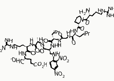 CC(C)C[C@H](NC(=O)CNC(=O)[C@H](CC(C)C)NC(=O)[C@@H]1CCCN1C(=O)[C@H](N)CCCNC(=N)N)C(=O)N[C@@H](CNc1ccc([N+](=O)[O-])cc1[N+](=O)[O-])C(=O)N[C@@H](C)C(=O)N[C@H](CCCNC(=N)N)C(=O)N[C@@H]([C]=O)CCC(=O)O